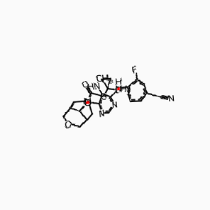 CNc1c(Nc2ccc(C#N)cc2F)ncnc1OC1C2COCC1CN(C(=O)OC1(C)CC1)C2